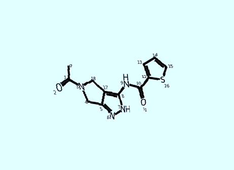 CC(=O)N1Cc2n[nH]c(NC(=O)c3cccs3)c2C1